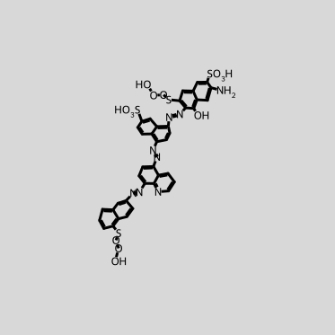 Nc1cc2c(O)c(/N=N/c3ccc(/N=N/c4ccc(/N=N/c5ccc6c(SOOO)cccc6c5)c5ncccc45)c4ccc(S(=O)(=O)O)cc34)c(SOOO)cc2cc1S(=O)(=O)O